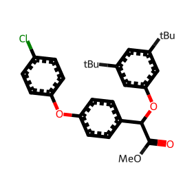 COC(=O)C(Oc1cc(C(C)(C)C)cc(C(C)(C)C)c1)c1ccc(Oc2ccc(Cl)cc2)cc1